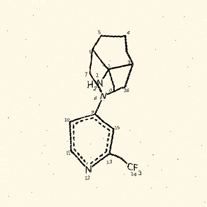 CC1(N)C2CCC1CN(c1ccnc(C(F)(F)F)c1)C2